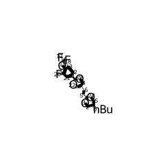 CCCC[C@H]1CO[C@H](CC[C@H]2CO[C@H](c3ccc(OC(F)F)c(F)c3)OC2)OC1